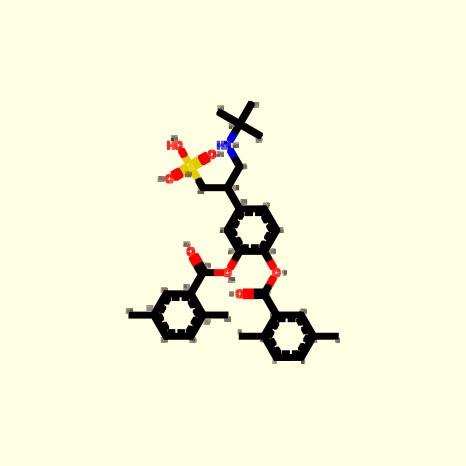 Cc1ccc(C)c(C(=O)Oc2ccc(C(CNC(C)(C)C)CS(=O)(=O)O)cc2OC(=O)c2cc(C)ccc2C)c1